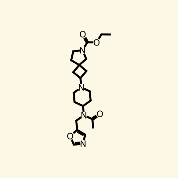 CCOC(=O)N1CCC2(CC(N3CCC(N(Cc4cnco4)C(C)=O)CC3)C2)C1